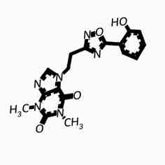 Cn1c(=O)c2c(ncn2CCc2noc(-c3ccccc3O)n2)n(C)c1=O